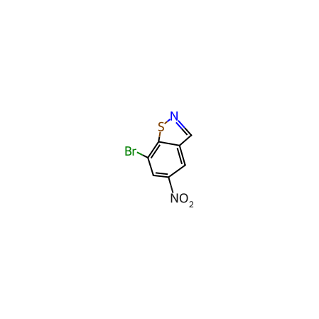 O=[N+]([O-])c1cc(Br)c2sncc2c1